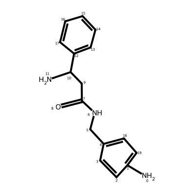 Nc1ccc(CNC(=O)CC(N)c2ccccc2)cc1